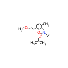 COCCCc1ccc(C)c(CN(C(=O)OCC(C)C)C2CC2)c1